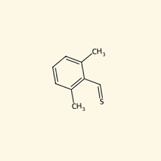 Cc1cccc(C)c1C=S